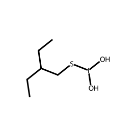 CCC(CC)CSI(O)O